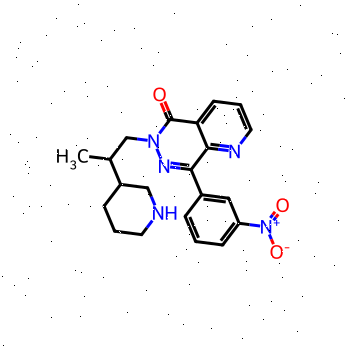 CC(Cn1nc(-c2cccc([N+](=O)[O-])c2)c2ncccc2c1=O)C1CCCNC1